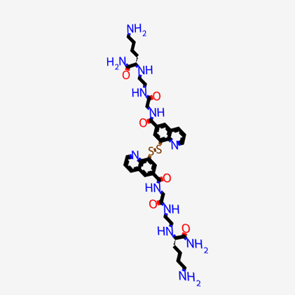 NCCCC[C@H](NCCNC(=O)CNC(=O)c1cc(SSc2cc(C(=O)NCC(=O)NCCN[C@@H](CCCCN)C(N)=O)cc3cccnc23)c2ncccc2c1)C(N)=O